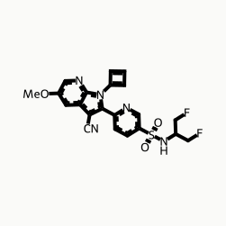 COc1cnc2c(c1)c(C#N)c(-c1ccc(S(=O)(=O)NC(CF)CF)cn1)n2C1=CC=C1